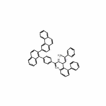 C=C(NC(/C=C(\N)c1ccccc1)c1ccccc1-c1ccccc1)c1ccc(-c2c(-c3ccc4ccc5ccccc5c4c3)ccc3ccccc23)cc1